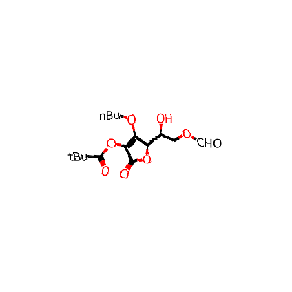 CCCCOC1=C(OC(=O)C(C)(C)C)C(=O)O[C@@H]1[C@@H](O)COC=O